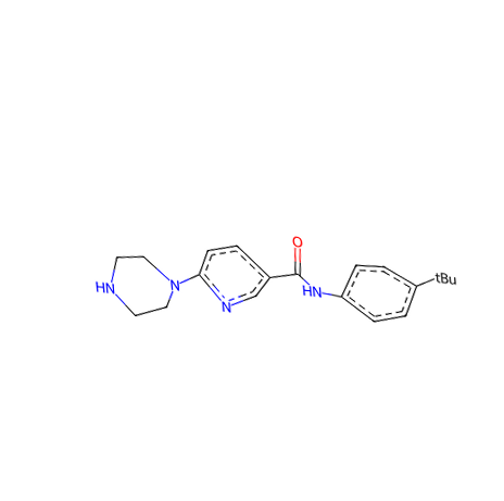 CC(C)(C)c1ccc(NC(=O)c2ccc(N3CCNCC3)nc2)cc1